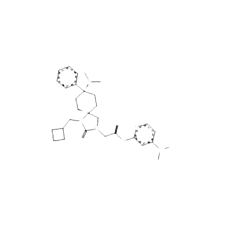 CN(C)[C@]1(c2ccccc2)CC[C@@]2(CC1)CN(CC(=O)Nc1cc([S+](C)[O-])ccn1)C(=O)N2CC1CCC1